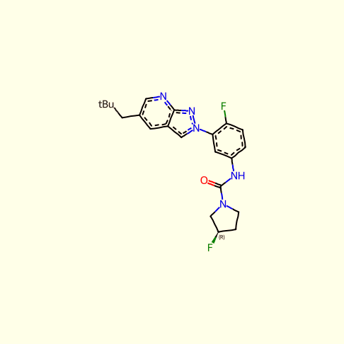 CC(C)(C)Cc1cnc2nn(-c3cc(NC(=O)N4CC[C@@H](F)C4)ccc3F)cc2c1